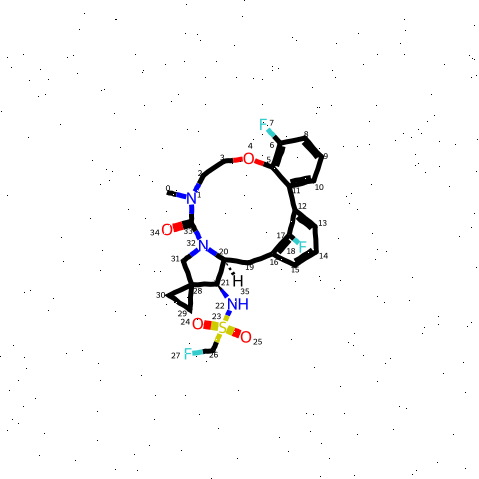 CN1CCOc2c(F)cccc2-c2cccc(c2F)C[C@H]2[C@@H](NS(=O)(=O)CF)C3(CC3)CN2C1=O